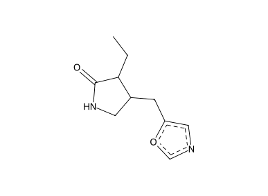 CCC1C(=O)NCC1Cc1cnco1